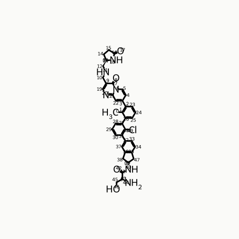 Cc1c(-c2ccn3c(=O)c(CNC[C@H]4CCC(=O)N4)cnc3c2)cccc1-c1cccc(-c2ccc3c(c2)C[C@@H](NC(=O)[C@@H](N)CO)C3)c1Cl